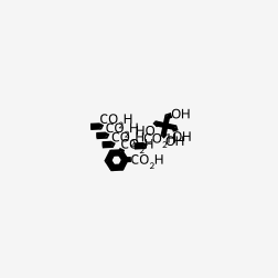 C=CC(=O)O.C=CC(=O)O.C=CC(=O)O.C=CC(=O)O.O=C(O)c1ccccc1C(=O)O.OCC(CO)(CO)CO